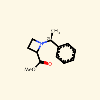 COC(=O)C1CCN1[C@@H](C)c1ccccc1